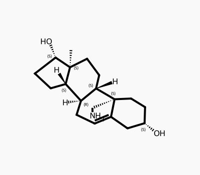 C[C@]12CC[C@H]3[C@@H](CC=C4C[C@@H](O)CC[C@@]43CN)[C@@H]1CC[C@@H]2O